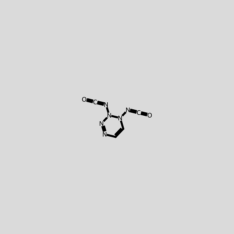 O=C=NN1C=CN=NN1N=C=O